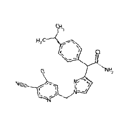 CC(C)c1ccc(C(C(N)=O)c2ccn(Cc3cc(Cl)c(C#N)cn3)n2)cc1